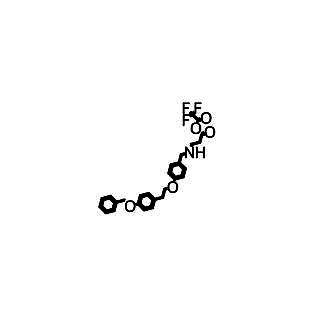 O=C(CCNCc1ccc(OCCc2ccc(OCc3ccccc3)cc2)cc1)OC(=O)C(F)(F)F